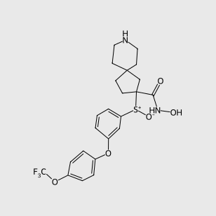 O=C(NO)C1([S+]([O-])c2cccc(Oc3ccc(OC(F)(F)F)cc3)c2)CCC2(CCNCC2)C1